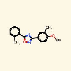 CCC(C)Oc1ccc(-c2noc(-c3ccccc3C)n2)cc1C